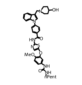 CCCCCNC(=O)Nc1ccc(OC)c(Oc2cnc(NC(=O)c3ccc(-n4cc(CN5CCC(O)CC5)c5ccccc54)cc3)s2)c1